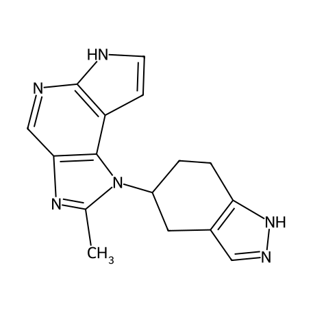 Cc1nc2cnc3[nH]ccc3c2n1C1CCc2[nH]ncc2C1